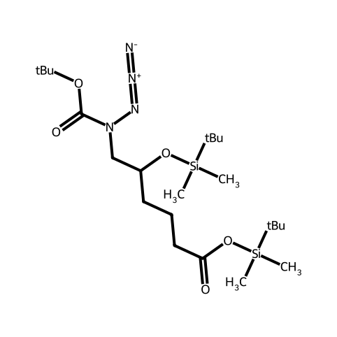 CC(C)(C)OC(=O)N(CC(CCCC(=O)O[Si](C)(C)C(C)(C)C)O[Si](C)(C)C(C)(C)C)N=[N+]=[N-]